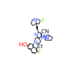 CCc1c(F)ccc2cc(O)cc(N3CCc4c(nc(C#CC56CCCN5C[C@H](F)C6)c(C#N)c4N4CC5CCC(C4)N5)C3)c12